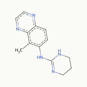 Cc1c(NC2=NCCCN2)ccc2nccnc12